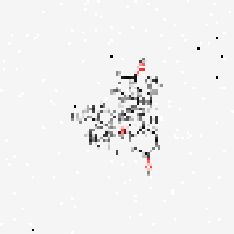 CC1=C2CC(=O)CC[C@]2(CO[Si](C)(C)C(C)(C)C)[C@@H]2CC[C@]3(C)C(=O)CC[C@H]3[C@@H]2C1